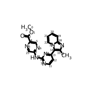 COC(=O)c1cnc(Nc2nccc(-c3c(C)nc4ccccn34)n2)cn1